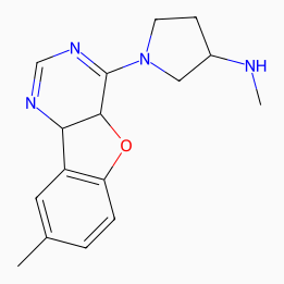 CNC1CCN(C2=NC=NC3c4cc(C)ccc4OC23)C1